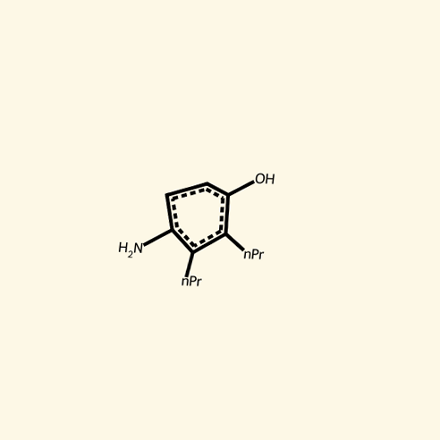 CCCc1c(N)ccc(O)c1CCC